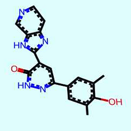 Cc1cc(-c2cc(-c3nc4ccncc4[nH]3)c(=O)[nH]n2)cc(C)c1O